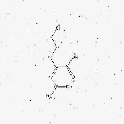 O=C(O)/C=C(/CCCCl)C(=O)O